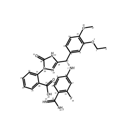 CCOc1cc([C@H](Nc2ccc(C(=N)N)c(F)c2)c2nn(-c3ccccc3C(=O)O)c(=O)[nH]2)ccc1OC